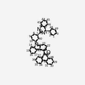 c1ccc(-c2nc(-c3cccc(-n4c5ccccc5c5c6c(ccc54)oc4c5ccccc5c5ccccc5c46)c3)nc3ccccc23)cc1